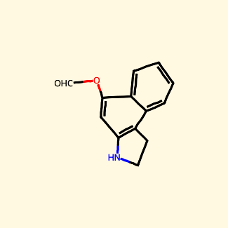 O=COc1cc2c(c3ccccc13)CCN2